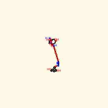 CO[C@@H]1C[C@@H](C)CC2=C(NCCOCCOCCOCCOCCOCCOCCn3cc(CN(C)CCOc4ccc([C@H]5C[C@@]6(C)C(CC[C@@H]6O)C6CCc7cc(O)ccc7C65)cc4)nn3)C(=O)C=C(C2=O)N2O[C@H](/C=C\C=C(/C)C2=O)[C@H](OC(N)O)/C(C)=C/[C@@H](C)[C@@H]1O